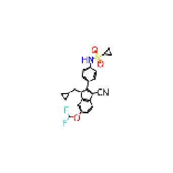 N#CC1=C(c2ccc(NS(=O)(=O)C3CC3)cc2)C(CC2CC2)c2cc(OC(F)F)ccc21